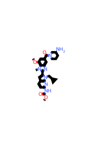 COC(=O)Nc1ccc2cc(-c3nc4cc(C(=O)N5CCC[C@@H](N)C5)cc(OC)c4n3C)n(CC3CC3)c2n1